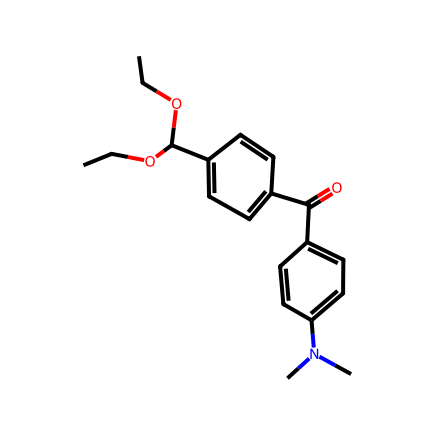 CCOC(OCC)c1ccc(C(=O)c2ccc(N(C)C)cc2)cc1